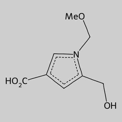 COCn1cc(C(=O)O)cc1CO